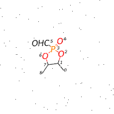 CC1OP(=O)(C=O)OC1C